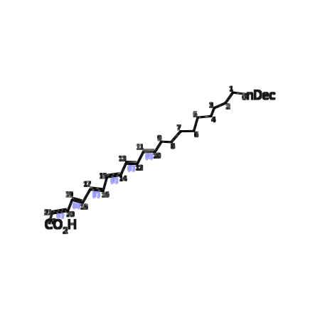 CCCCCCCCCCCCCCCCCCC/C=C/C=C/C=C/C=C/C=C/C=C/C(=O)O